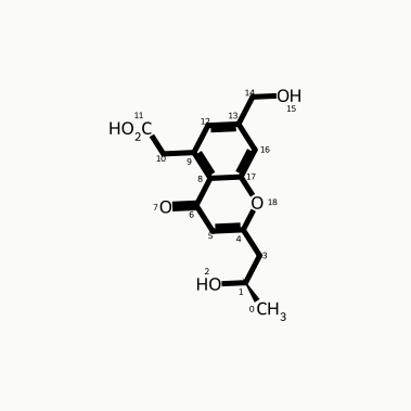 C[C@@H](O)Cc1cc(=O)c2c(CC(=O)O)cc(CO)cc2o1